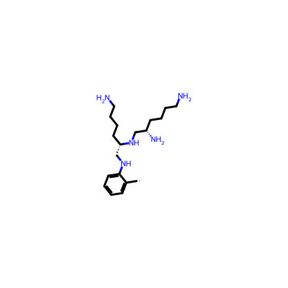 [CH2]c1ccccc1NC[C@H](CCCCN)NC[C@@H](N)CCCCN